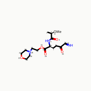 CO[C@H](C)C(=O)N[C@@H](CCC(=O)C=N)C(=O)OCCN1CCOCC1